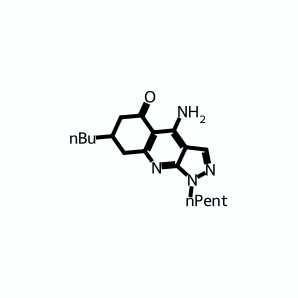 CCCCCn1ncc2c(N)c3c(nc21)CC(CCCC)CC3=O